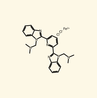 CN(C)Cn1c(-c2cccc(-c3nc4ccccc4n3CN(C)C)n2)nc2ccccc21.[Cl-].[Cl-].[Fe+2]